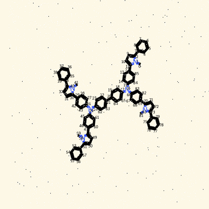 Cn1c(-c2ccccc2)ccc1-c1ccc(N(c2ccc(-c3ccc(N(c4ccc(-c5ccc(-c6ccccc6)n5C)cc4)c4ccc(-c5ccc(-c6ccccc6)n5C)cc4)cc3)cc2)c2ccc(-c3ccc(-c4ccccc4)n3C)cc2)cc1